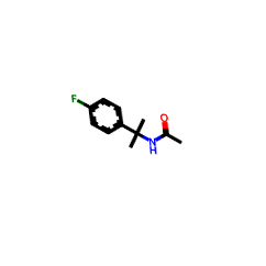 CC(=O)NC(C)(C)c1ccc(F)cc1